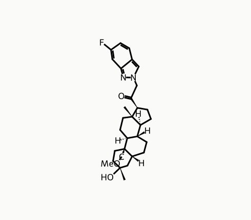 COC[C@]12CC[C@@](C)(O)C[C@H]1CC[C@H]1[C@@H]3CC[C@H](C(=O)Cn4cc5ccc(F)cc5n4)[C@@]3(C)CC[C@@H]12